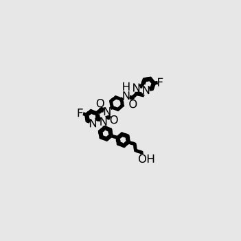 O=C(NC1CCC(n2c(=O)c3cc(F)cnc3n(-c3cccc(-c4ccc(CCCO)cc4)c3)c2=O)CC1)c1cn2cc(F)ccc2n1